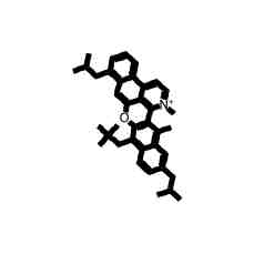 Cc1c2c(c(CC(C)(C)C)c3ccc(CC(C)C)cc13)Oc1cc3c(CC(C)C)cccc3c3cc[n+](C)c-2c13